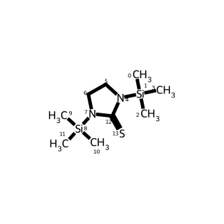 C[Si](C)(C)N1CCN([Si](C)(C)C)C1=S